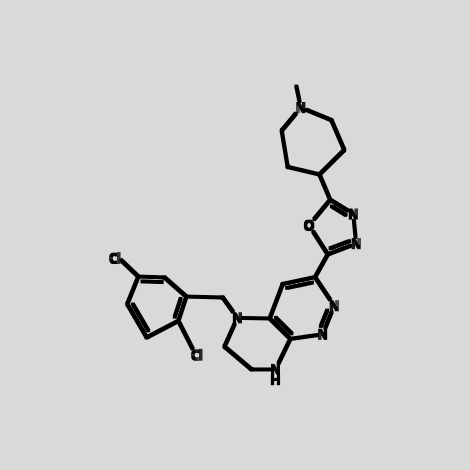 CN1CCC(c2nnc(-c3cc4c(nn3)NCCN4Cc3cc(Cl)ccc3Cl)o2)CC1